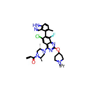 C=CC(=O)N1C[C@H](C)N(c2nc(OC3CCN(C(C)C)CC3)nc3c(F)c(-c4c(C)ccc5[nH]ncc45)c(Cl)cc23)C[C@H]1C